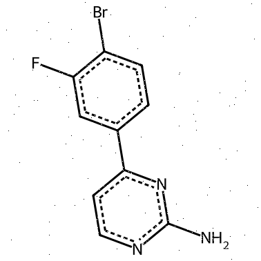 Nc1nccc(-c2ccc(Br)c(F)c2)n1